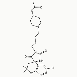 CC(=O)OC1CCN(CCCCN2C(=O)NC3(CC(C)(C)Oc4ccc(Cl)cc43)C2=O)CC1